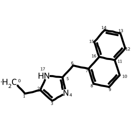 [CH2]Cc1cnc(Cc2cccc3ccccc23)[nH]1